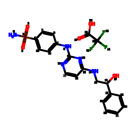 NS(=O)(=O)c1ccc(Nc2nccc(NCC(O)c3ccccc3)n2)cc1.O=C(O)C(F)(F)F